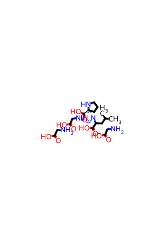 CC(C)CC(N)C(=O)O.NCC(=O)O.NCC(=O)O.NCC(=O)O.O=C(O)[C@@H]1CCCN1